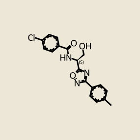 Cc1ccc(-c2noc([C@H](CO)NC(=O)c3ccc(Cl)cc3)n2)cc1